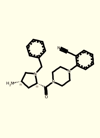 N#Cc1ccccc1N1CCN(C(=O)[C@@H]2C[C@H](N)CN2Cc2ccccc2)CC1